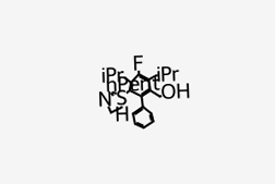 CCCCCC1=NCC[SH]1c1c(-c2ccccc2)c(CO)c(C(C)C)c(F)c1C(C)C